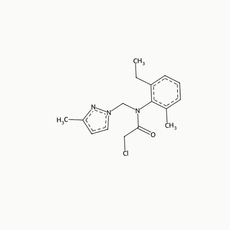 CCc1cccc(C)c1N(Cn1ccc(C)n1)C(=O)CCl